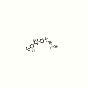 CC(C)Oc1ccc(-c2noc(-c3ccc(C4(CNCCC(=O)O)CC4)cc3)n2)cc1Cl